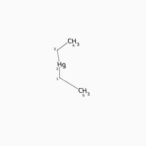 C[CH2][Hg][CH2]C